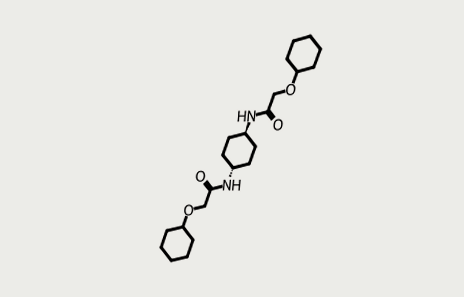 O=C(COC1CCCCC1)N[C@H]1CC[C@H](NC(=O)COC2CCCCC2)CC1